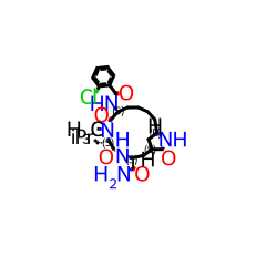 CC(C)C[C@H]1C(=O)N[C@H](C(N)=O)C[C@@H]2C[C@@H](CCCC[C@H](NC(=O)c3ccccc3Cl)C(=O)N1C)NC2=O